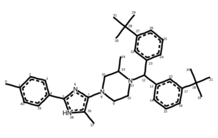 Cc1ccc(-c2nc(N3CCN(C(c4cccc(C(C)(C)C)c4)c4cccc(C(C)(C)C)c4)C(C)C3)c(C)[nH]2)cc1